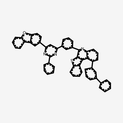 c1ccc(-c2cccc(-c3cccc4nc(-c5cccc(-c6cc(-c7ccc8oc9ccccc9c8c7)nc(-c7ccccc7)n6)c5)c5sc6ccccc6c5c34)c2)cc1